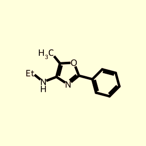 CCNc1nc(-c2ccccc2)oc1C